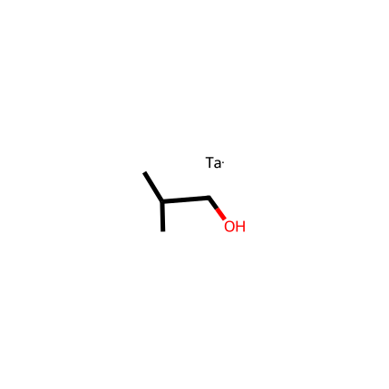 CC(C)CO.[Ta]